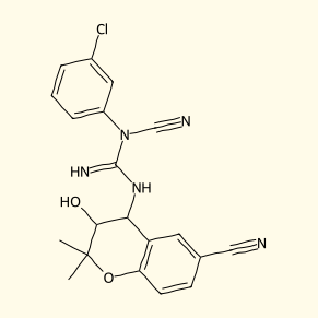 CC1(C)Oc2ccc(C#N)cc2C(NC(=N)N(C#N)c2cccc(Cl)c2)C1O